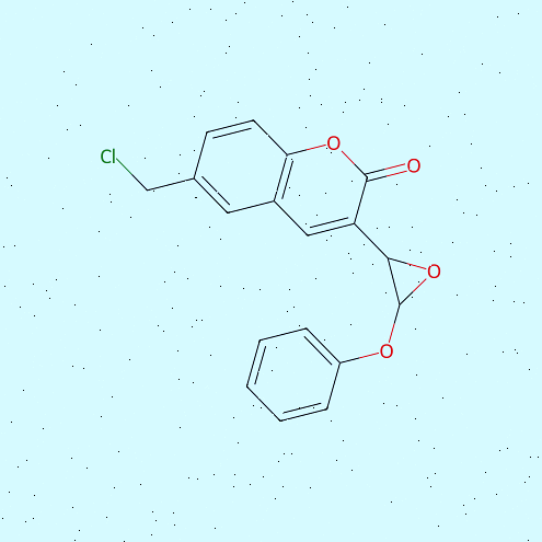 O=c1oc2ccc(CCl)cc2cc1C1OC1Oc1ccccc1